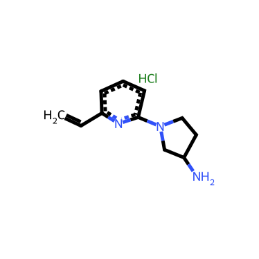 C=Cc1cccc(N2CCC(N)C2)n1.Cl